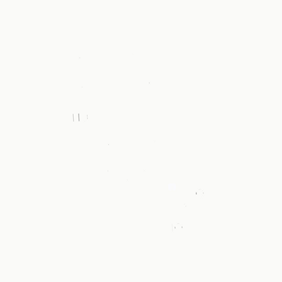 Cc1c(-c2cccc(/C=C/C(=O)O)c2)ccc2ccccc12